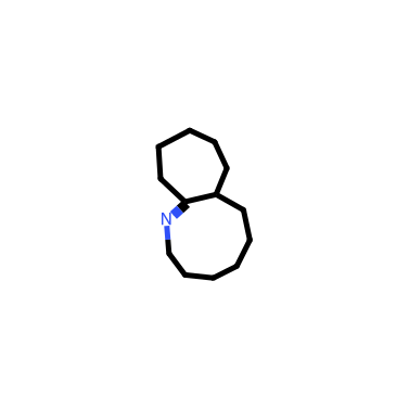 C1CCCC2CCCCCC2=NCC1